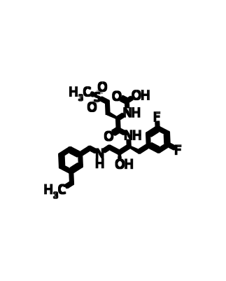 CCc1cccc(CNC[C@H](O)[C@H](Cc2cc(F)cc(F)c2)NC(=O)[C@@H](CCS(C)(=O)=O)NC(=O)O)c1